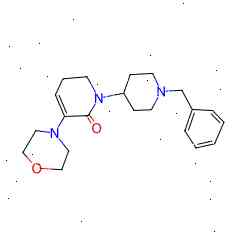 O=C1C(N2CCOCC2)=CCCN1C1CCN(Cc2ccccc2)CC1